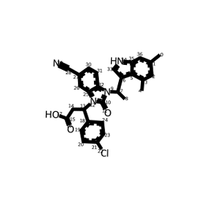 Cc1cc(C)c2c(C(C)n3c(=O)n(C(CC(=O)O)c4ccc(Cl)cc4)c4cc(C#N)ccc43)c[nH]c2c1